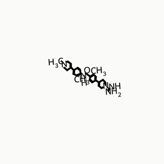 Cc1cc(C2=CCN(C)CC2)ccc1NC(=O)c1ccc(C2=CCN(C(=N)N)CC2)cc1C